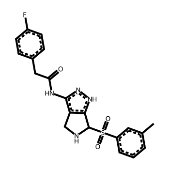 Cc1cccc(S(=O)(=O)C2NCc3c(NC(=O)Cc4ccc(F)cc4)n[nH]c32)c1